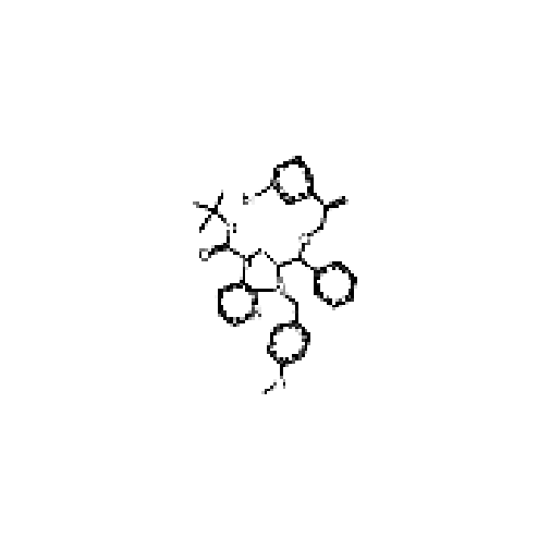 C=C(CO[C@@H](c1ccccc1)[C@H]1CN(C(=O)OC(C)(C)C)c2cccnc2N1Cc1ccc(OC)cc1)c1cccc(Br)c1